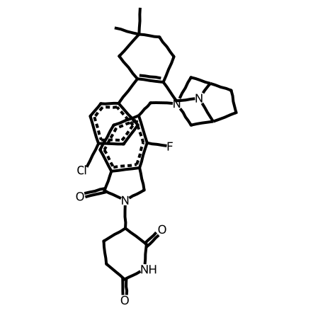 CC1(C)CCC(CN2C3CCC2CN(Cc2ccc4c(c2F)CN(C2CCC(=O)NC2=O)C4=O)C3)=C(c2ccc(Cl)cc2)C1